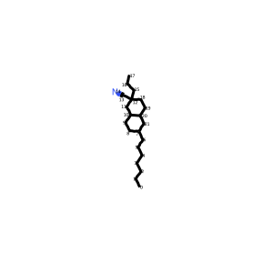 CCCCCCCC1CCC2CC(C#N)(CCC)CCC2C1